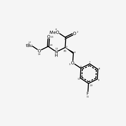 COC(=O)[C@@H](COc1cccc(F)c1)NC(=O)OC(C)(C)C